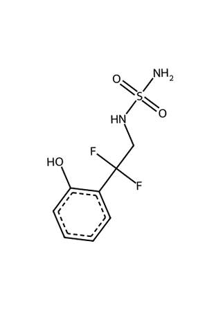 NS(=O)(=O)NCC(F)(F)c1ccccc1O